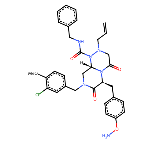 C=CCN1CC(=O)N2[C@@H](Cc3ccc(ON)cc3)C(=O)N(Cc3ccc(OC)c(Cl)c3)C[C@@H]2N1C(=O)NCc1ccccc1